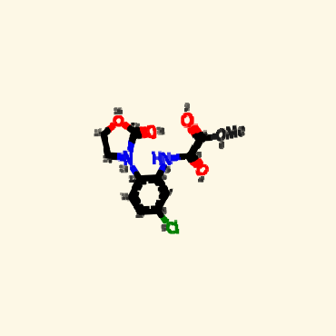 COC(=O)C(=O)Nc1cc(Cl)ccc1N1CCOC1=O